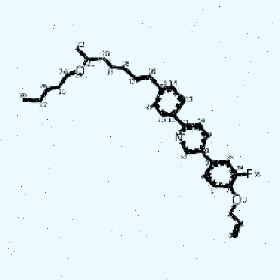 C=CCOc1ccc(-c2ccc(-c3ccc(/C=C/CCCC(C)OCCCCC)cc3)nc2)cc1F